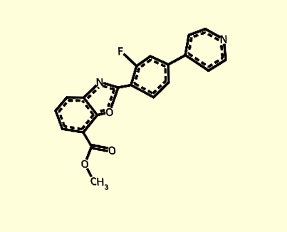 COC(=O)c1cccc2nc(-c3ccc(-c4ccncc4)cc3F)oc12